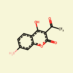 Bc1ccc2c(O)c(C(=O)C(F)(F)F)c(=O)oc2c1